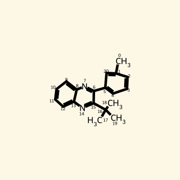 Cc1cccc(-c2nc3ccccc3nc2C(C)(C)C)c1